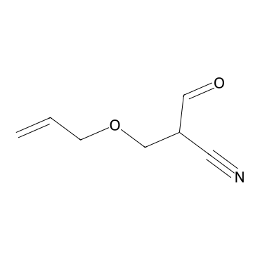 C=CCOCC(C#N)C=O